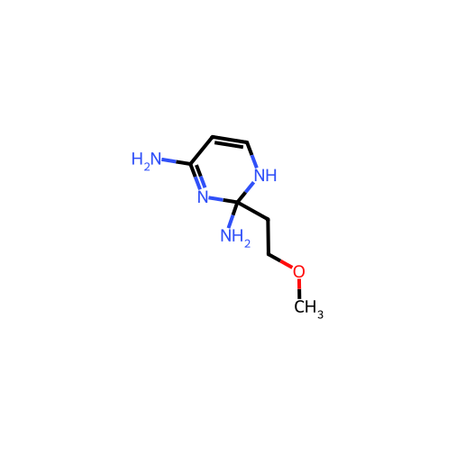 COCCC1(N)N=C(N)C=CN1